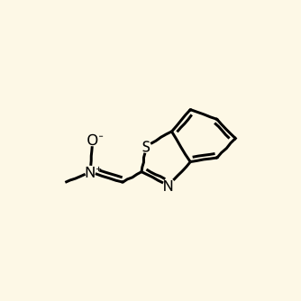 C[N+]([O-])=Cc1nc2ccccc2s1